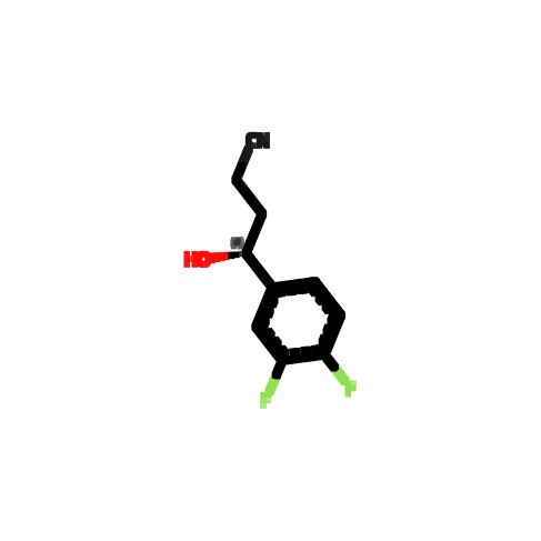 N#CCC[C@@H](O)c1ccc(F)c(F)c1